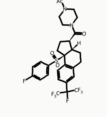 CC(=O)N1CCN(C(=O)[C@@H]2CC[C@@]3(S(=O)(=O)c4ccc(F)cc4)c4ccc(C(F)(C(F)(F)F)C(F)(F)F)cc4CC[C@@H]23)CC1